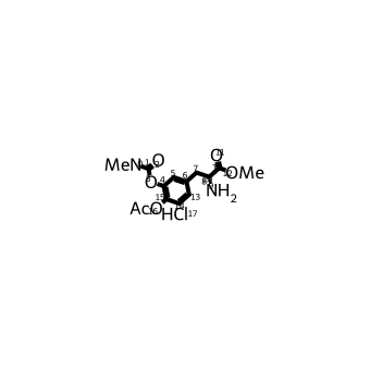 CNC(=O)Oc1cc(C[C@H](N)C(=O)OC)ccc1OC(C)=O.Cl